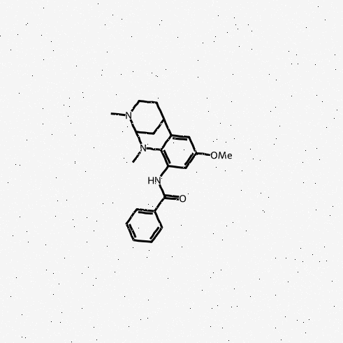 COc1cc(NC(=O)c2ccccc2)c2c(c1)C1CCN(C)C(C1)N2C